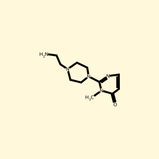 Cn1c(N2CCN(CCN)CC2)nccc1=O